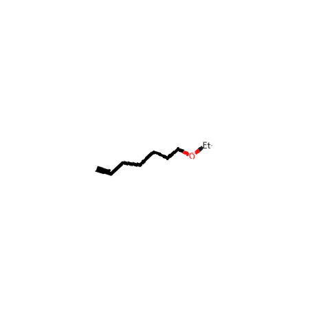 C=CCCCCCO[CH]C